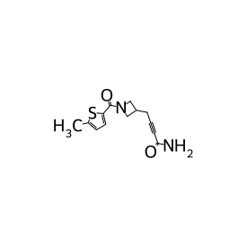 Cc1ccc(C(=O)N2CC(CC#CC(N)=O)C2)s1